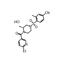 CCc1ccc(C(=O)N2CCN(S(=O)(=O)c3ccc(C#N)cc3C)C[C@@H]2C)cn1.Cl